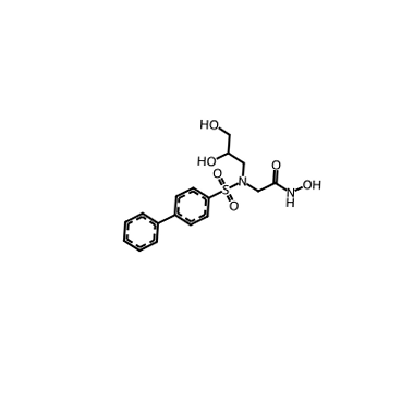 O=C(CN(CC(O)CO)S(=O)(=O)c1ccc(-c2ccccc2)cc1)NO